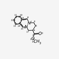 COC(=O)C1CCN2C=c3ccccc3=CN2C1